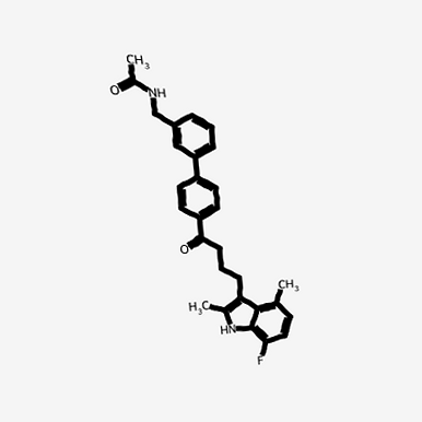 CC(=O)NCc1cccc(-c2ccc(C(=O)CCCc3c(C)[nH]c4c(F)ccc(C)c34)cc2)c1